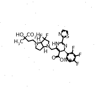 COC(=O)C1=C(CN2CC(F)(F)[C@H]3[C@@H]2CCN3CC[C@](C)(O)C(=O)O)NC(c2nccs2)=N[C@H]1c1ccc(F)c(F)c1F